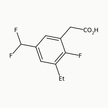 CCc1cc(C(F)F)cc(CC(=O)O)c1F